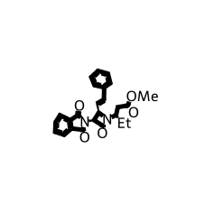 CC[C@H](CC(=O)OC)N1C(=O)[C@@H](N2C(=O)c3ccccc3C2=O)[C@H]1C=Cc1ccccc1